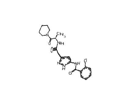 C[C@@H](NC(=O)c1cc(NC(=O)c2ccccc2Cl)[nH]n1)C(=O)N1CCCCC1